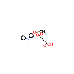 CCC(OC(=O)CCCCC(=O)O)Oc1ccc(Nc2ccccc2)cc1